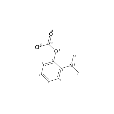 CN(C)c1ccccc1OC(=O)Cl